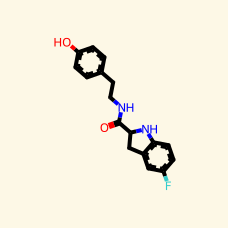 O=C(NCCc1ccc(O)cc1)C1Cc2cc(F)ccc2N1